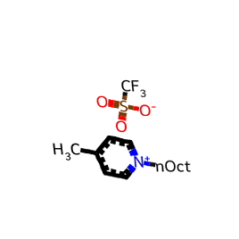 CCCCCCCC[n+]1ccc(C)cc1.O=S(=O)([O-])C(F)(F)F